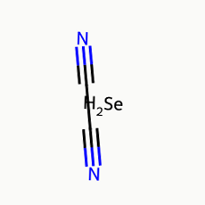 N#CC#N.[SeH2]